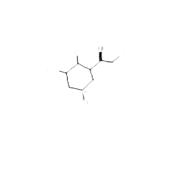 CCC(=N)C1C[C@@H](C)CC(C)C1F